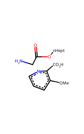 CCCCCCCOC(=O)CN.COc1cccnc1C(=O)O